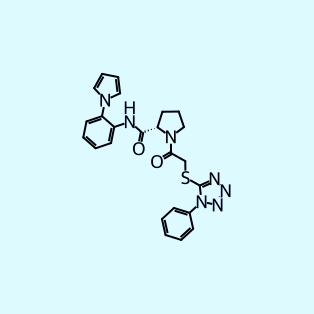 O=C(Nc1ccccc1-n1cccc1)[C@@H]1CCCN1C(=O)CSc1nnnn1-c1ccccc1